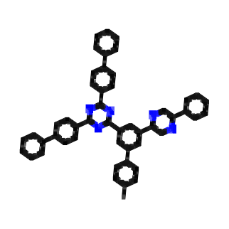 Cc1ccc(-c2cc(-c3cnc(-c4ccccc4)cn3)cc(-c3nc(-c4ccc(-c5ccccc5)cc4)nc(-c4ccc(-c5ccccc5)cc4)n3)c2)cc1